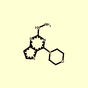 NNc1nc(N2CCOCC2)c2sccc2n1